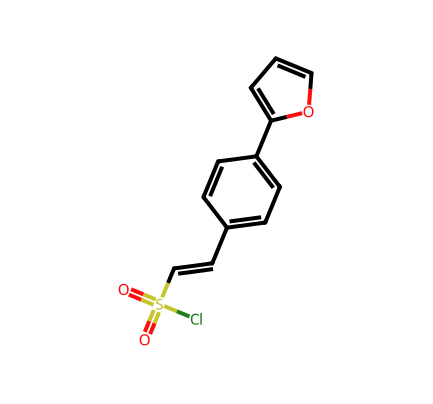 O=S(=O)(Cl)C=Cc1ccc(-c2ccco2)cc1